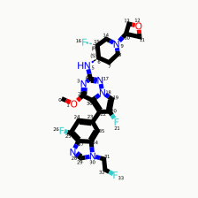 COc1nc(N[C@H]2CCN(C3COC3)C[C@H]2F)nn2cc(F)c(-c3cc(F)c4ncn(CCF)c4c3)c12